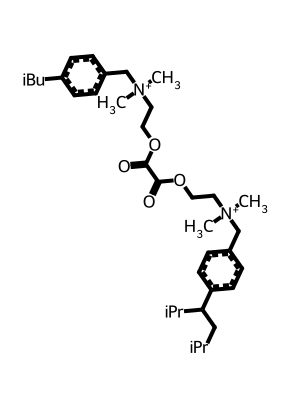 CCC(C)c1ccc(C[N+](C)(C)CCOC(=O)C(=O)OCC[N+](C)(C)Cc2ccc(C(CC(C)C)C(C)C)cc2)cc1